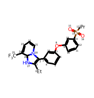 CCC1=C(c2cccc(Oc3cccc(S(=O)(=O)C(C)C)c3)c2)N2C=CC=C(C(F)(F)F)C2N1